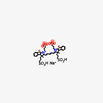 CC1(CCCS(=O)(=O)O)C(/C=C/C=C/C=C2\N(CCCS(=O)(=O)[O-])c3sc4ccccc4c3C2(C)CCCS(=O)(=O)O)=[N+](CCCS(=O)(=O)[O-])c2sc3ccccc3c21.[Na+]